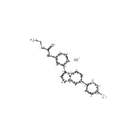 Cl.O=C(NCC(F)(F)F)Nc1cccc(-c2cnc3cc(-c4ccc(C(F)(F)F)nn4)ccn23)c1